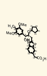 COc1cc([C@@H](O)[C@H](Cc2nc3cc(CC(=O)O)ccc3[nH]2)OC2CCCC2)cc(OC)c1C